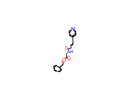 O=C(CCCc1ccncc1)NCC(=O)OCc1ccccc1